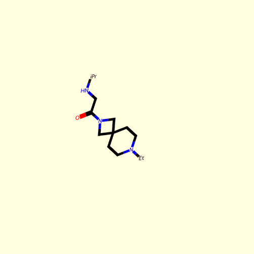 CCN1CCC2(CC1)CN(C(=O)CNC(C)C)C2